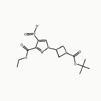 CCOC(=O)c1nn(C2CN(C(=O)OC(C)(C)C)C2)cc1[N+](=O)[O-]